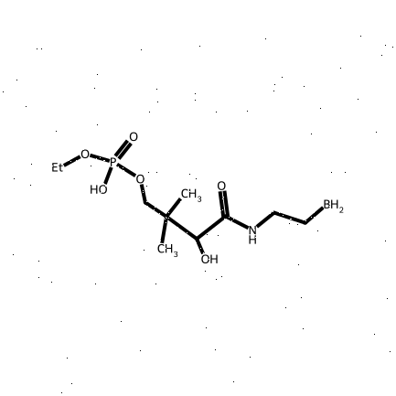 BCCNC(=O)C(O)C(C)(C)COP(=O)(O)OCC